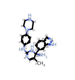 CC1=CN=C(Nc2ccc(N3CCNCC3)cc2)NC1(N)c1ccc2cn[nH]c2c1